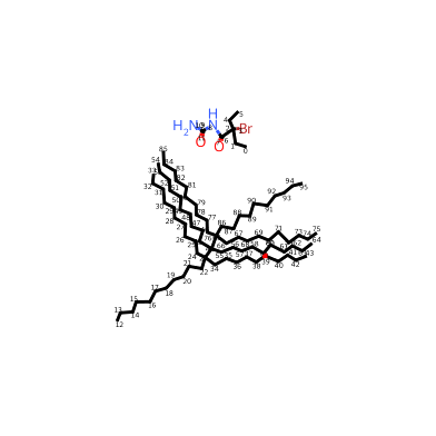 CCC(Br)(CC)C(=O)NC(N)=O.CCCCCCCCCCCC(CCCCCCCCCC)(CCCCCCCCCC)C(CCCCCCCCCC)(CCCCCCCCCC)C(CCCCCCCCCC)(CCCCCCCCCC)CCCCCCCCCC